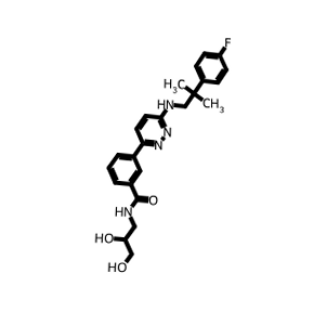 CC(C)(CNc1ccc(-c2cccc(C(=O)NCC(O)CO)c2)nn1)c1ccc(F)cc1